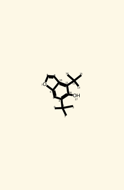 CC(C)(C)c1cc2occc2c(C(C)(C)C)c1O